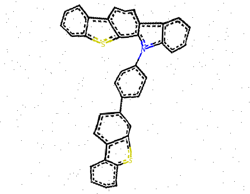 c1ccc2c(c1)sc1cc(-c3ccc(-n4c5ccccc5c5ccc6c7ccccc7sc6c54)cc3)ccc12